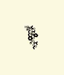 CCC(=O)OC(O[PH](=O)c1ccc(CCCCS(=O)(=O)O)c([PH](=O)OC(OC(=O)CC)C(C)C)c1Oc1ccccc1)C(C)C